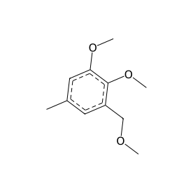 COCc1cc(C)cc(OC)c1OC